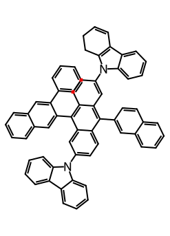 C1=Cc2c(n(-c3ccc4c(-c5cc6ccccc6cc5-c5ccccc5)c5cc(-n6c7ccccc7c7ccccc76)ccc5c(-c5ccc6ccccc6c5)c4c3)c3ccccc23)CC1